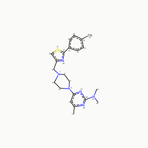 Cc1cc(N2CCN(Cc3csc(-c4ccc(C#N)cc4)n3)CC2)nc(N(C)C)n1